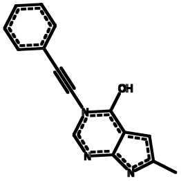 Cc1cc2c(O)n(C#Cc3ccccc3)cnc-2n1